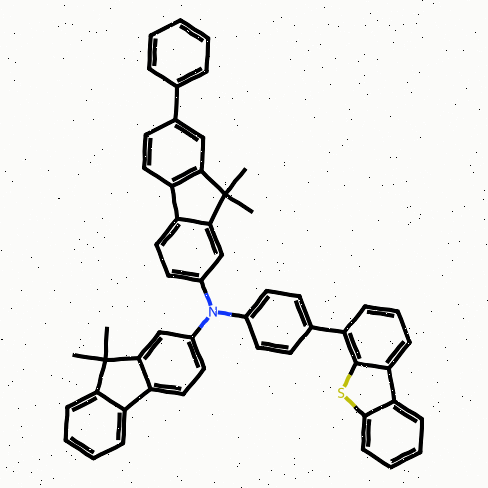 CC1(C)c2ccccc2-c2ccc(N(c3ccc(-c4cccc5c4sc4ccccc45)cc3)c3ccc4c(c3)C(C)(C)c3cc(-c5ccccc5)ccc3-4)cc21